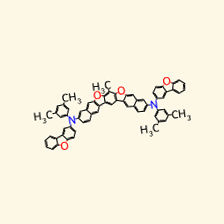 Cc1cc(C)cc(N(c2ccc3cc4c(cc3c2)oc2c(C)c3oc5cc6cc(N(c7cc(C)cc(C)c7)c7ccc8oc9ccccc9c8c7)ccc6cc5c3cc24)c2ccc3oc4ccccc4c3c2)c1